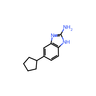 Nc1nc2cc(C3CCCC3)ccc2[nH]1